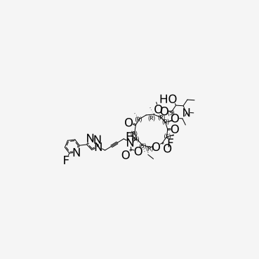 CCO[C@@H](O[C@@H]1[C@@H](C)C(=O)[C@](C)(F)C(=O)O[C@H](CC)[C@@]2(C)OC(=O)N(CC#CCn3cc(-c4cccc(F)n4)nn3)[C@@H]2[C@@H](C)C(=O)[C@H](C)C[C@@]1(C)OC)C(O)C(CC)N(C)C